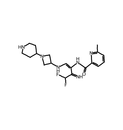 Cc1cccc(C(=O)N/C(=C/NC2CN(C3CCNCC3)C2)C(=N)C(F)F)n1